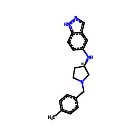 Cc1ccc(CN2CC[C@@H](Nc3ccc4[nH]ncc4c3)C2)cc1